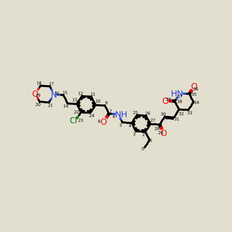 CCc1cc(CNC(=O)Cc2ccc(CCN3CCOCC3)c(Cl)c2)ccc1C(=O)/C=C/C1CCC(=O)NC1=O